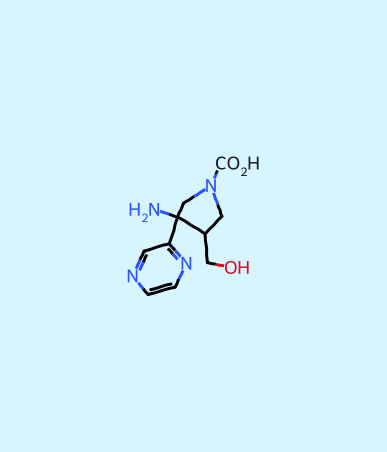 NC1(c2cnccn2)CN(C(=O)O)CC1CO